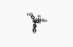 CCCCNc1ncc2c(-c3ccc(N4CCOCC4)cc3)nn([C@H]3CC[C@H](O)CC3)c2n1